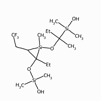 CCC(C)(O[Si]1(C)C(CC(F)(F)F)C1(CC)O[Si](C)(C)O)[Si](C)(C)O